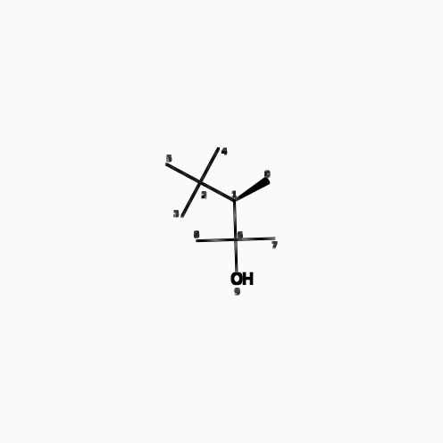 C[C@H](C(C)(C)C)C(C)(C)O